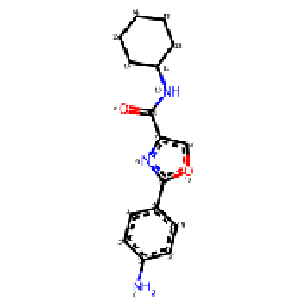 Nc1ccc(-c2nc(C(=O)NC3CCCCC3)co2)cc1